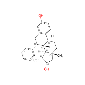 CC[C@@H]1[C@H]2[C@H]3[C@H](CC[C@]2(C)C[C@@H]1O)c1ccc(O)cc1C[C@H]3c1ccccc1